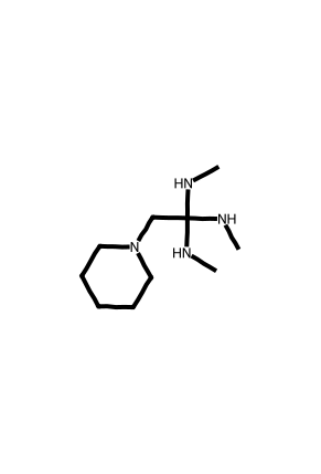 CNC(CN1CCCCC1)(NC)NC